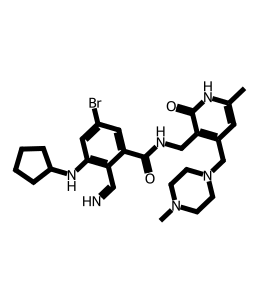 Cc1cc(CN2CCN(C)CC2)c(CNC(=O)c2cc(Br)cc(NC3CCCC3)c2C=N)c(=O)[nH]1